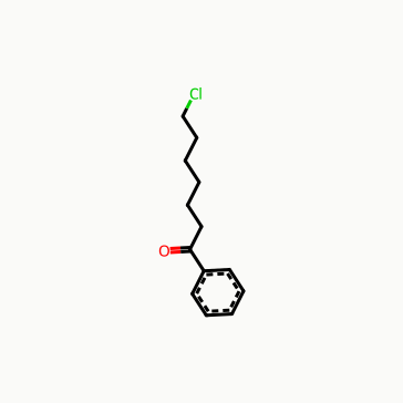 O=C(CCCCCCCl)c1ccccc1